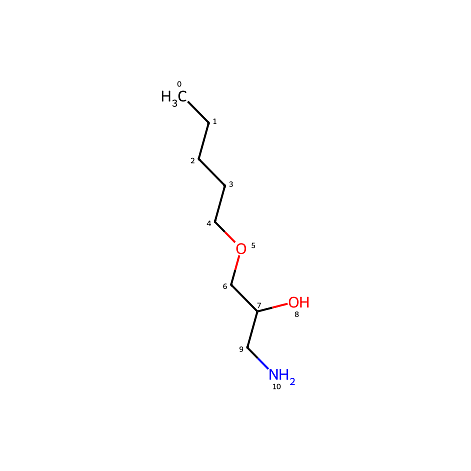 CCCCCOCC(O)CN